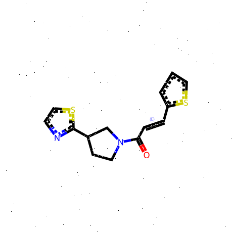 O=C(/C=C/c1cccs1)N1CCC(c2nccs2)C1